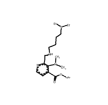 CCCOC(=O)c1ccnc(CNCCCCN(CC)CC)c1N(C)C